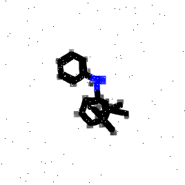 CC1=CC(Nc2ccccc2)=C2CCC1(C)C(C)C2